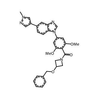 COc1cc(-n2cnc3cc(-c4cnn(C)c4)ccc32)cc(OC)c1C(=O)N1CC(OCc2ccccc2)C1